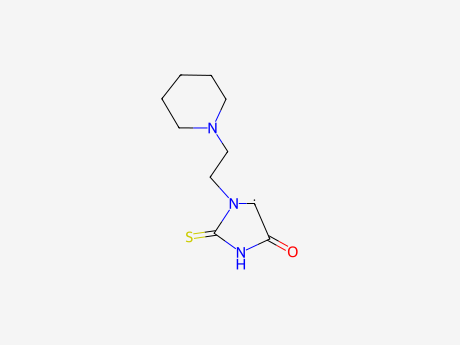 O=C1[CH]N(CCN2CCCCC2)C(=S)N1